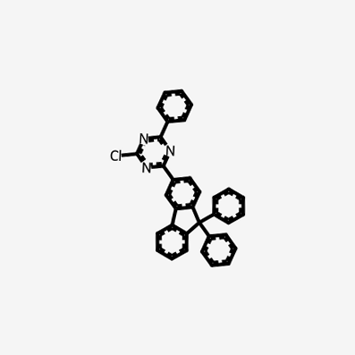 Clc1nc(-c2ccccc2)nc(-c2ccc3c(c2)-c2ccccc2C3(c2ccccc2)c2ccccc2)n1